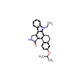 CCn1c2ccccc2c2c3c(c4c(c21)CCc1cc(OC(C)C)ccc1-4)C(=O)NC3